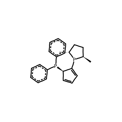 C[C@@H]1CC[C@@H](C)P1C1=CC=C[C@H]1P(c1ccccc1)c1ccccc1